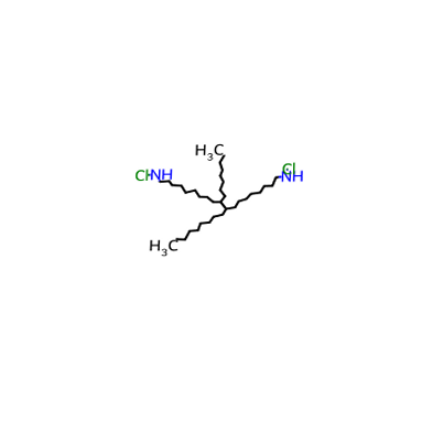 CCCCCCCCCC(CCCCCCCCNCl)C(CCCCCCCC)CCCCCCCCCNCl